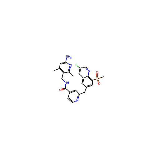 Cc1cc(N)nc(C)c1CNC(=O)c1ccnc(Cc2cc(S(C)(=O)=O)c3ncc(F)cc3c2)c1